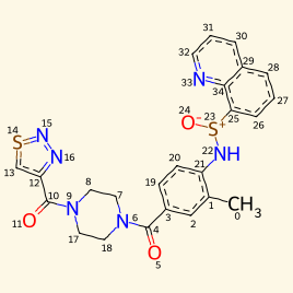 Cc1cc(C(=O)N2CCN(C(=O)c3csnn3)CC2)ccc1N[S+]([O-])c1cccc2cccnc12